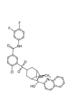 C[C@H]1CC2CC(S(=O)(=O)c3cc(C(=O)Nc4ccc(F)c(F)c4)ccc3Cl)CC1[C@@]2(O)C(O)c1ccc2ccccc2n1